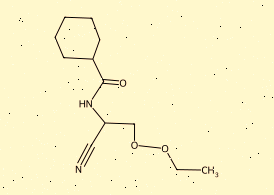 CCOOCC(C#N)NC(=O)C1CCCCC1